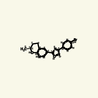 C[C@@H]1CCc2cc(-c3nc(-c4ccc(Br)cc4)no3)cnc2O1